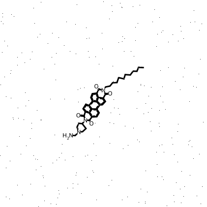 CCCCCCCCCCCCN1C(=O)c2ccc3c4ccc5c6c(ccc(c7ccc(c2c37)C1=O)c64)C(=O)N(C1CCN(CN)CC1)C5=O